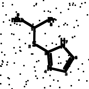 CCCCC(Sc1ncc[nH]1)[C](C)C